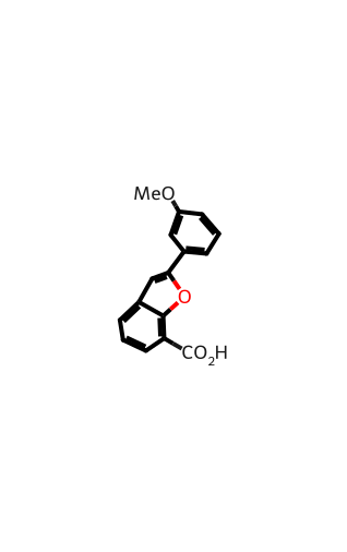 COc1cccc(-c2cc3cccc(C(=O)O)c3o2)c1